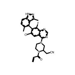 C=CC(=O)N1CCN(c2ncnc3c(F)c(-c4c(C)ccc5[nH]nc(C)c45)c(Cl)cc23)CC1CC#N